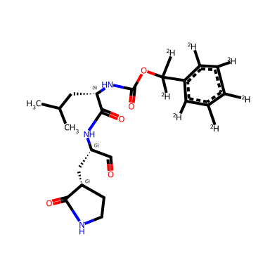 [2H]c1c([2H])c([2H])c(C([2H])([2H])OC(=O)N[C@@H](CC(C)C)C(=O)N[C@H](C=O)C[C@@H]2CCNC2=O)c([2H])c1[2H]